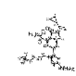 CC(=O)Nc1cc(-c2cc3c(c(S(N)(=O)=O)c2)C(=O)N(C(C)C2CC2)C3)n(COCC[Si](C)(C)C)n1